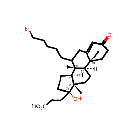 C[C@]12CCC(=O)C=C1CC(CCCCCBr)[C@@H]1[C@@H]2CC[C@@]2(C)[C@H]1CC[C@]2(O)CCC(=O)O